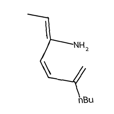 C=C(/C=C\C(N)=C/C)CCCC